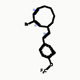 FC(F)(F)Oc1ccc(/C=C/C2/C=C(Br)\C=C/CCCC2)cc1